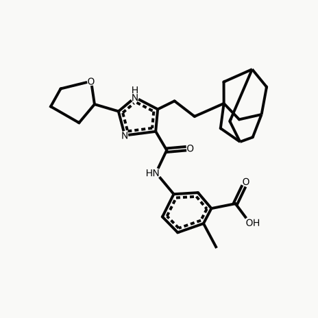 Cc1ccc(NC(=O)c2nc(C3CCCO3)[nH]c2CCC23CC4CC(CC(C4)C2)C3)cc1C(=O)O